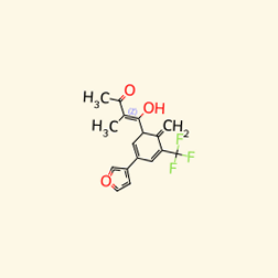 C=C1C(C(F)(F)F)=CC(c2ccoc2)=CC1/C(O)=C(\C)C(C)=O